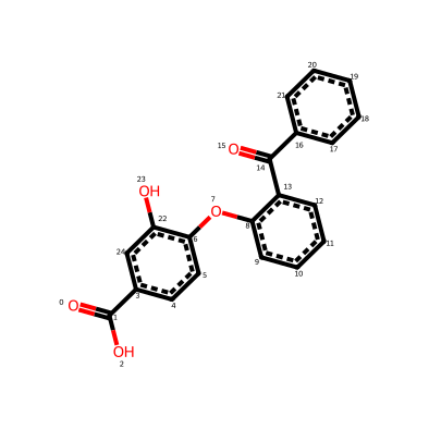 O=C(O)c1ccc(Oc2ccccc2C(=O)c2ccccc2)c(O)c1